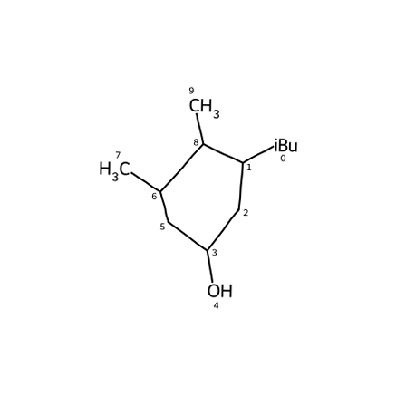 CCC(C)C1CC(O)CC(C)C1C